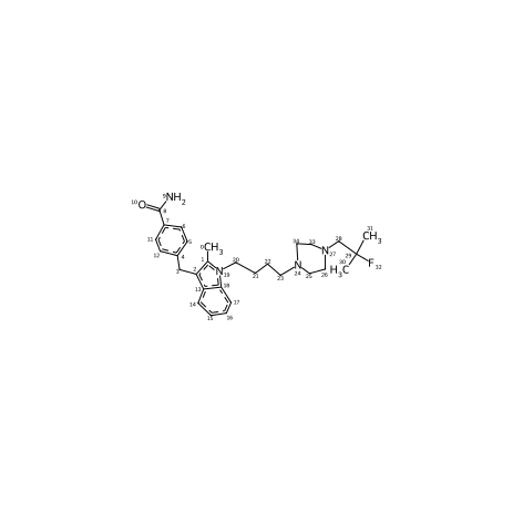 Cc1c(Cc2ccc(C(N)=O)cc2)c2ccccc2n1CCCCN1CCN(CC(C)(C)F)CC1